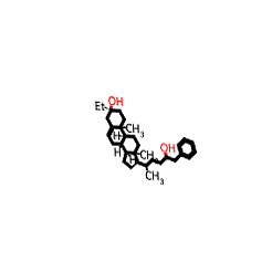 CC[C@]1(O)CC[C@@]2(C)C(=CC[C@H]3[C@@H]4CC[C@H]([C@H](C)CCC(O)Cc5ccccc5)[C@@]4(C)CC[C@@H]32)C1